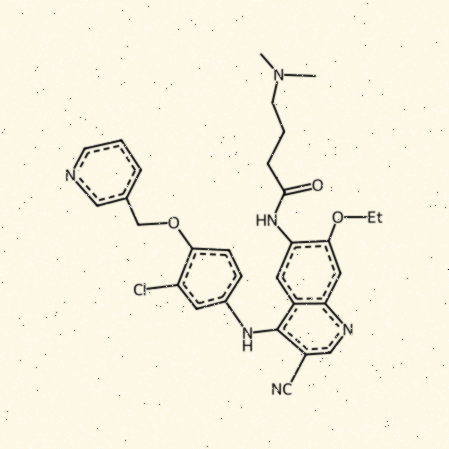 CCOc1cc2ncc(C#N)c(Nc3ccc(OCc4cccnc4)c(Cl)c3)c2cc1NC(=O)CCCN(C)C